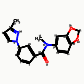 Cc1ccn(-c2cccc(C(=O)N(C)c3ccc4c(c3)OCO4)c2)n1